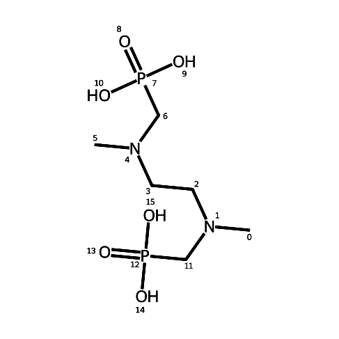 CN(CCN(C)CP(=O)(O)O)CP(=O)(O)O